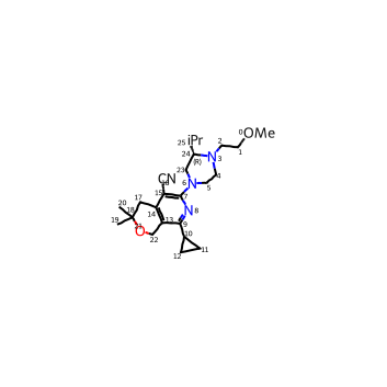 COCCN1CCN(c2nc(C3CC3)c3c(c2C#N)CC(C)(C)OC3)C[C@H]1C(C)C